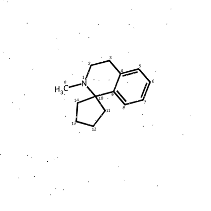 CN1CCc2c[c]ccc2C12CCCC2